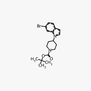 CC(C)(C)OC(=O)N1CCC(n2ccc3ccc(Br)cc32)CC1